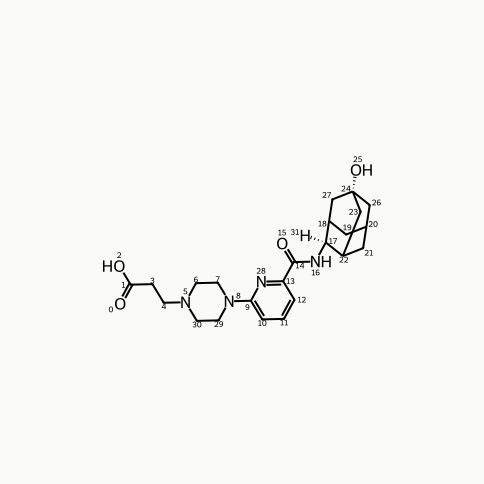 O=C(O)CCN1CCN(c2cccc(C(=O)N[C@H]3C4CC5CC3C[C@](O)(C5)C4)n2)CC1